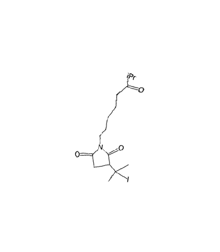 CC(C)C(=O)CCCCCN1C(=O)CC(C(C)(C)I)C1=O